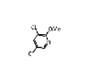 COc1ncc(Cl)cc1Cl